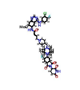 [2H]C1([2H])N(CC2CCN(C/C=C/C(=O)Nc3cc4c(Nc5ccc(F)c(Cl)c5)ncnc4cc3OC)CC2)C([2H])([2H])C([2H])([2H])N(c2cc3c(cc2F)C(=O)N(C2CCC(=O)NC2=O)C3=O)C1([2H])[2H]